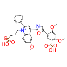 COc1ccc2c(c1)c(-c1ncc(-c3cc(S(=O)(=O)O)c(OC)cc3OC)o1)cc(-c1ccccc1)[n+]2CCCS(=O)(=O)O